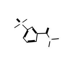 CN(C)C(=O)c1cccc(P(C)(C)=O)c1